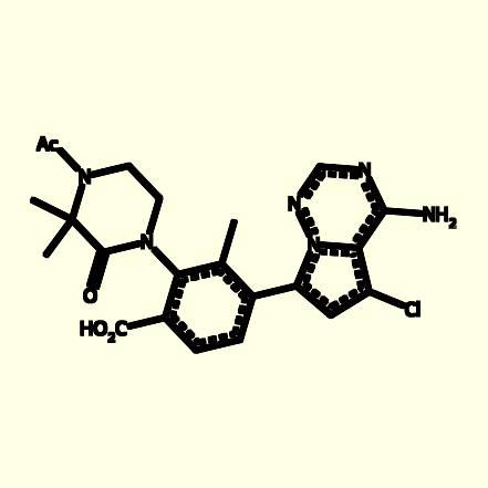 CC(=O)N1CCN(c2c(C(=O)O)ccc(-c3cc(Cl)c4c(N)ncnn34)c2C)C(=O)C1(C)C